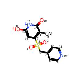 N#Cc1c(S(=O)(=O)Cc2ccncc2)cc(O)[nH]c1=O